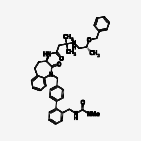 CNC(=O)NCc1ccccc1-c1ccc(CN2C(=O)[C@H](NC(=O)CC(C)(C)NC[C@@H](C)OCc3ccccc3)CCc3ccccc32)cc1